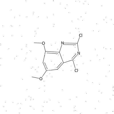 COc1cc(OC)c2nc(Cl)nc(Cl)c2c1